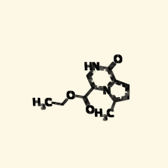 CCOC(=O)c1c[nH]c(=O)c2ccc(C)n12